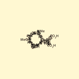 CNC(=O)C[C@@H]1NC(=O)c2csc(n2)-c2ccc(-c3nc(N(C(=O)O[C@H]4CC[C@H](C(=O)O)CC4)c4cnc(C(=O)O)[nH]4)cs3)nc2-c2csc(n2)-c2csc(n2)[C@H]([C@@H](O)c2ccccc2)NC(=O)CNC(=O)c2nc(sc2COC)C(C(C)C)NC(=O)c2nc1sc2C